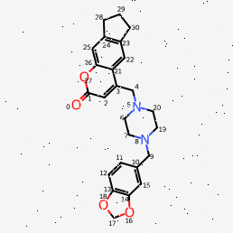 O=c1cc(CN2CCN(Cc3ccc4c(c3)OCO4)CC2)c2cc3c(cc2o1)CCC3